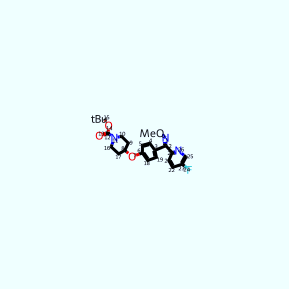 CO/N=C(\c1ccc(OC2CCN(C(=O)OC(C)(C)C)CC2)cc1)c1ccc(F)cn1